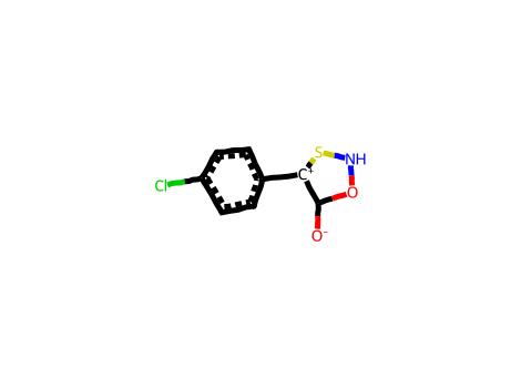 [O-]C1ONS[C+]1c1ccc(Cl)cc1